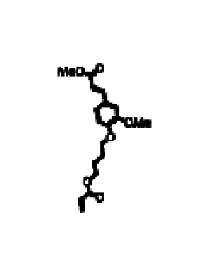 C=CC(=O)OCCCCOc1ccc(/C=C/C(=O)OC)cc1OC